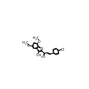 COc1cc(OC)c2oc(C(=O)C=Cc3ccc(Cl)cc3)c(C)c2c1